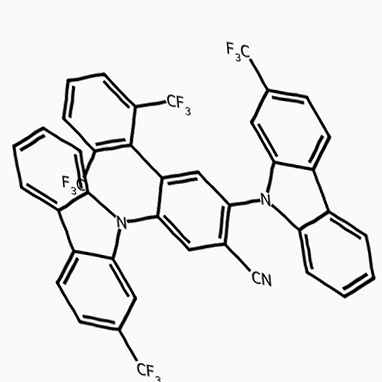 N#Cc1cc(-n2c3ccccc3c3ccc(C(F)(F)F)cc32)c(-c2c(C(F)(F)F)cccc2C(F)(F)F)cc1-n1c2ccccc2c2ccc(C(F)(F)F)cc21